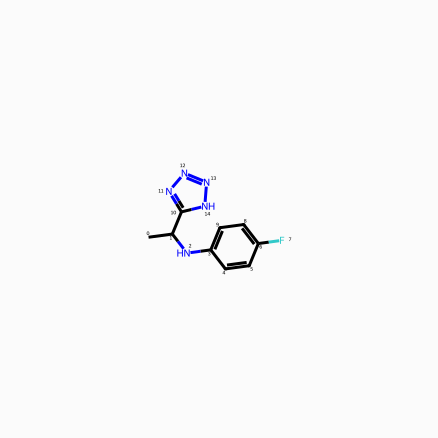 CC(Nc1ccc(F)cc1)c1nnn[nH]1